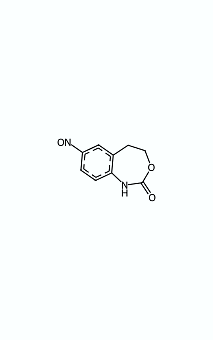 O=Nc1ccc2c(c1)CCOC(=O)N2